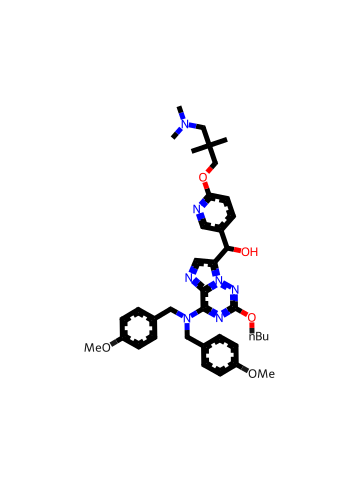 CCCCOc1nc(N(Cc2ccc(OC)cc2)Cc2ccc(OC)cc2)c2ncc(C(O)c3ccc(OCC(C)(C)CN(C)C)nc3)n2n1